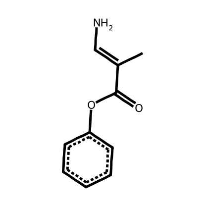 CC(=CN)C(=O)Oc1ccccc1